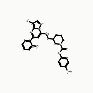 COc1ccc(NC(=O)N2CCCC(CNc3cc(-c4ccccc4Cl)nc4c(Br)cnn34)C2)cc1